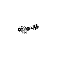 O=C(NC(=O)c1c(F)cccc1F)Nc1ccc(OCC(F)(F)C(F)(F)C(F)(F)C(F)F)cc1